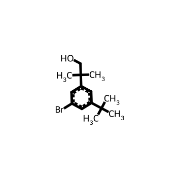 CC(C)(C)c1cc(Br)cc(C(C)(C)CO)c1